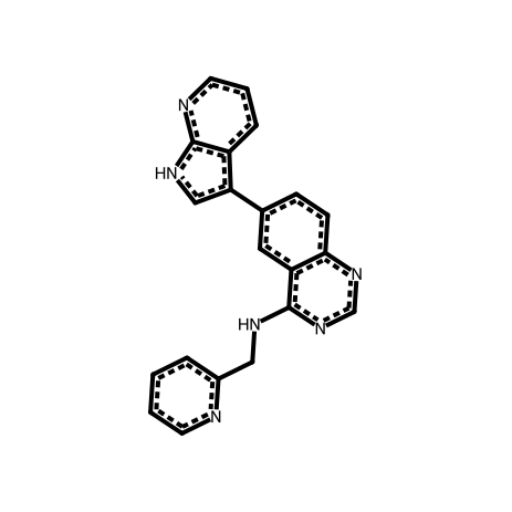 c1ccc(CNc2ncnc3ccc(-c4c[nH]c5ncccc45)cc23)nc1